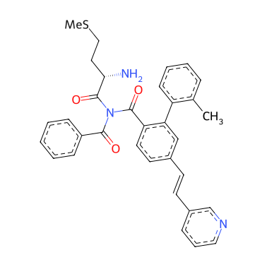 CSCC[C@H](N)C(=O)N(C(=O)c1ccccc1)C(=O)c1ccc(C=Cc2cccnc2)cc1-c1ccccc1C